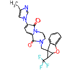 Cc1cn(-c2ccc3n(c2=O)CCN(CC24c5ccccc5OC2C4C(F)(F)F)C3=O)cn1